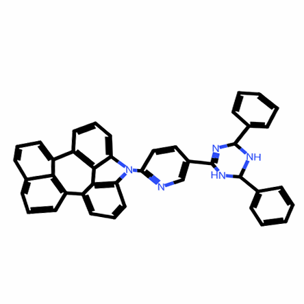 c1ccc(C2N=C(c3ccc(-n4c5cccc6c5c5c(cccc54)-c4cccc5cccc-6c45)nc3)NC(c3ccccc3)N2)cc1